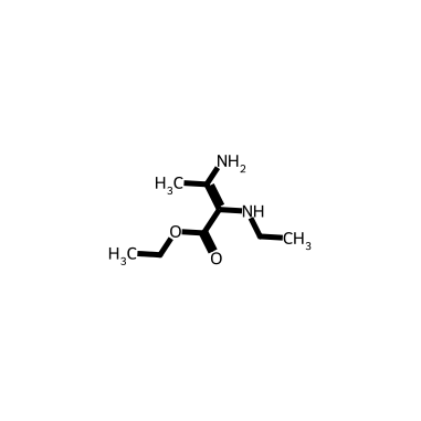 CCNC(C(=O)OCC)=C(C)N